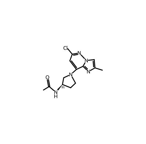 CC(=O)N[C@@H]1CCN(c2cc(Cl)nn3cc(C)nc23)C1